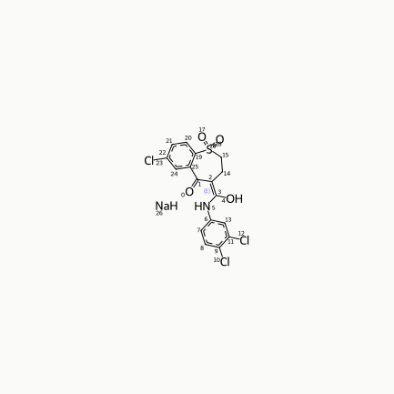 O=C1/C(=C(/O)Nc2ccc(Cl)c(Cl)c2)CCS(=O)(=O)c2ccc(Cl)cc21.[NaH]